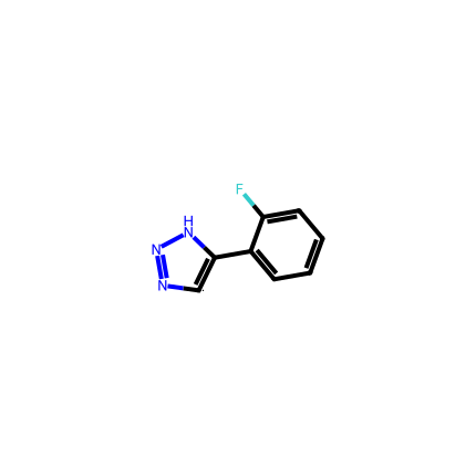 Fc1ccccc1-c1[c]nn[nH]1